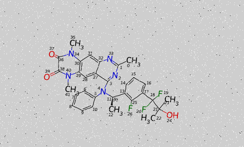 Cc1nc(N(c2ccccc2)[C@H](C)c2cccc(C(F)(F)C(C)(C)O)c2F)c2cc3c(cc2n1)n(C)c(=O)c(=O)n3C